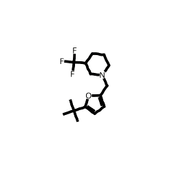 CC(C)(C)c1ccc(CN2CCCC(C(F)(F)F)C2)o1